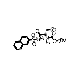 CC(C)C[C@H](NC(=O)OC(C)(C)C)C(=O)NS(=O)(=O)c1ccc2ccccc2c1